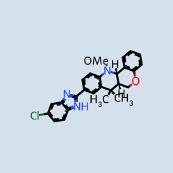 CON1c2ccc(-c3nc4cc(Cl)ccc4[nH]3)cc2C(C)(C)[C@H]2COc3ccccc3[C@H]21